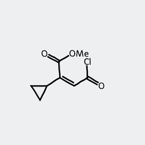 COC(=O)C(=CC(=O)Cl)C1CC1